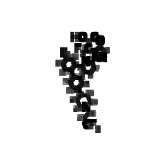 O=C(O)Oc1cnn(-c2cccc(-c3cc(F)ccc3-c3ccc(C4CCN(CCC(F)(F)F)CC4)cc3)n2)c1C(F)(F)F